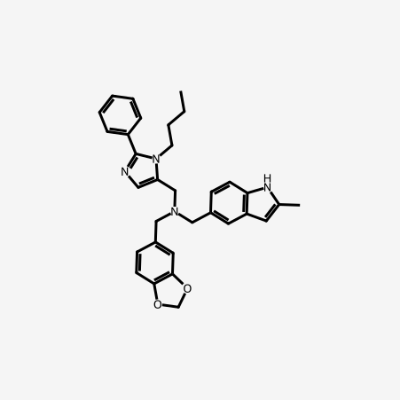 CCCCn1c(CN(Cc2ccc3c(c2)OCO3)Cc2ccc3[nH]c(C)cc3c2)cnc1-c1ccccc1